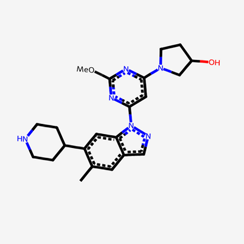 COc1nc(N2CCC(O)C2)cc(-n2ncc3cc(C)c(C4CCNCC4)cc32)n1